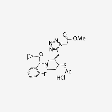 COC(=O)Cn1nnnc1C=C1CN(C(C(=O)C2CC2)c2ccccc2F)CCC1SC(C)=O.Cl